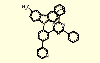 Cc1ccc2c(c1)c1cc(C)ccc1n2-c1ccc(-c2cccnc2)cc1-c1nc(-c2ccccc2)nc(-c2ccccc2)n1